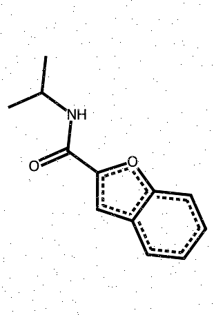 CC(C)NC(=O)c1cc2ccccc2o1